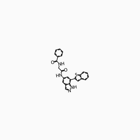 O=C(CNC(=O)c1ccccc1)Nc1cc(-c2cc3ccccc3s2)c2[nH]ncc2c1